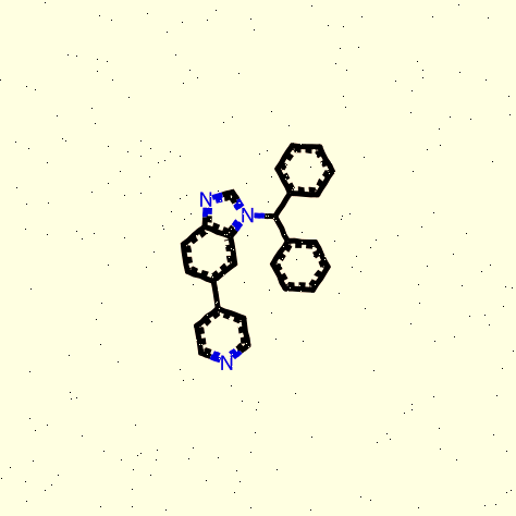 c1ccc(C(c2ccccc2)n2cnc3ccc(-c4ccncc4)cc32)cc1